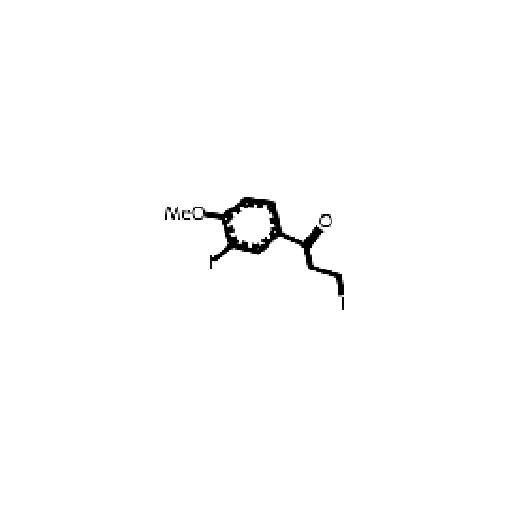 COc1ccc(C(=O)CCI)cc1I